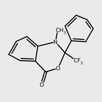 CN1c2ccccc2C(=O)OC1(c1ccccc1)C(F)(F)F